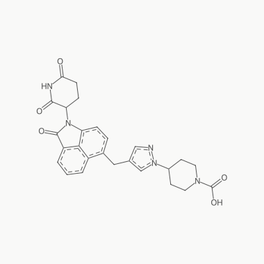 O=C1CCC(N2C(=O)c3cccc4c(Cc5cnn(C6CCN(C(=O)O)CC6)c5)ccc2c34)C(=O)N1